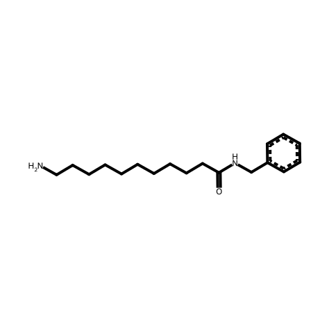 NCCCCCCCCCCC(=O)NCc1ccccc1